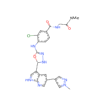 CNC(=O)CNC(=O)c1ccc(NC2=NNC(c3c[nH]c4ncc(-c5cnn(C)c5)cc34)O2)c(Cl)c1